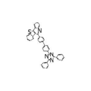 c1ccc(-c2nc(-c3ccccc3)nc(-c3ccc(-c4ccc(-c5nc6ccccc6c6sc7ccccc7c56)cc4)cc3)n2)cc1